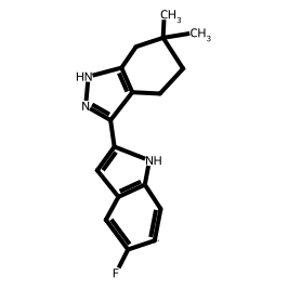 CC1(C)CCc2c(-c3cc4cc(F)[c]cc4[nH]3)n[nH]c2C1